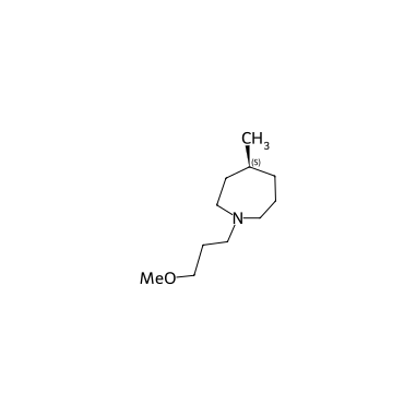 COCCCN1CCC[C@H](C)CC1